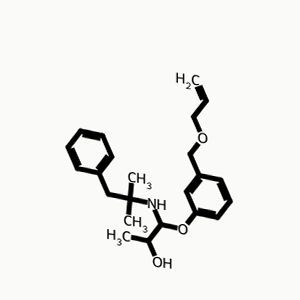 C=CCOCc1cccc(OC(NC(C)(C)Cc2ccccc2)C(C)O)c1